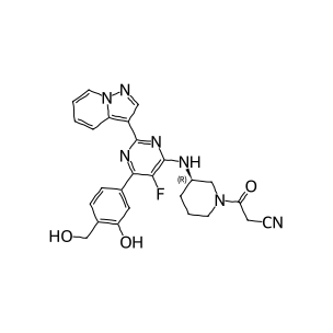 N#CCC(=O)N1CCC[C@@H](Nc2nc(-c3cnn4ccccc34)nc(-c3ccc(CO)c(O)c3)c2F)C1